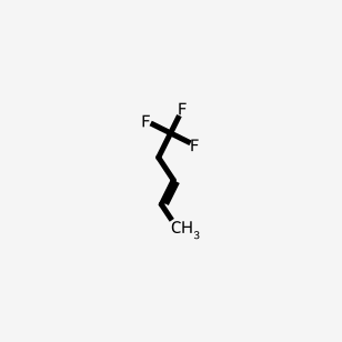 CC=CCC(F)(F)F